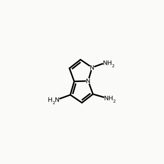 Nc1cc(N)n2c1ccn2N